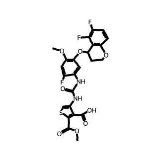 COC(=O)c1scc(NC(=O)Nc2cc(OC3CCOc4ccc(F)c(F)c43)c(OC)cc2F)c1C(=O)O